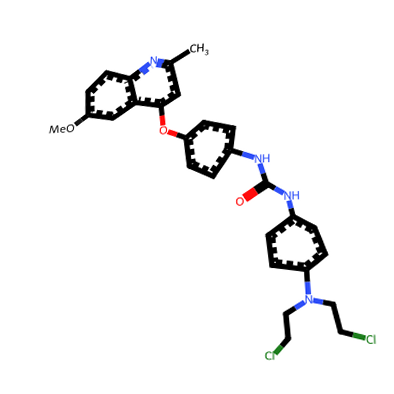 COc1ccc2nc(C)cc(Oc3ccc(NC(=O)Nc4ccc(N(CCCl)CCCl)cc4)cc3)c2c1